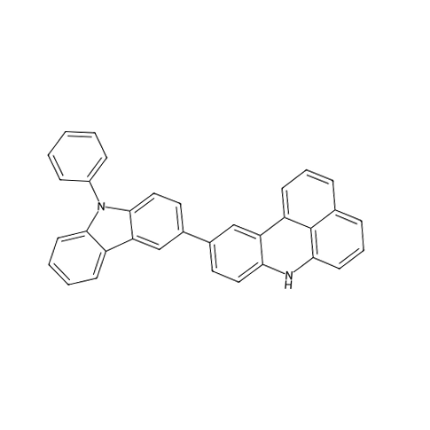 c1ccc(-n2c3ccccc3c3cc(-c4ccc5c(c4)-c4cccc6cccc(c46)N5)ccc32)cc1